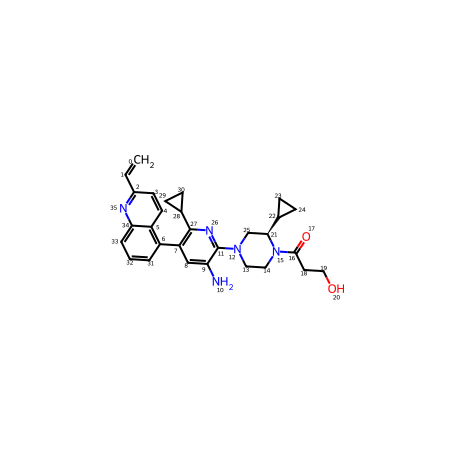 C=Cc1ccc2c(-c3cc(N)c(N4CCN(C(=O)CCO)[C@H](C5CC5)C4)nc3C3CC3)cccc2n1